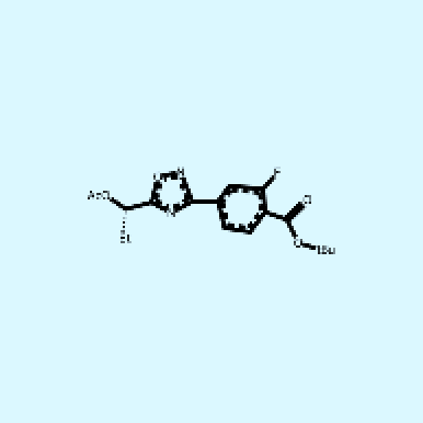 CC[C@H](OC(C)=O)c1nc(-c2ccc(C(=O)OC(C)(C)C)c(F)c2)no1